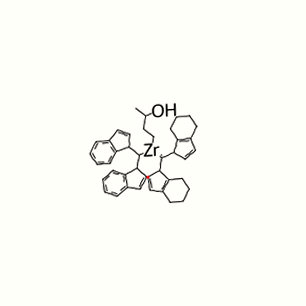 CC(O)C[CH2][Zr](=[C](C1C=CC2=C1CCCC2)C1C=CC2=C1CCCC2)[CH](C1C=Cc2ccccc21)C1C=Cc2ccccc21